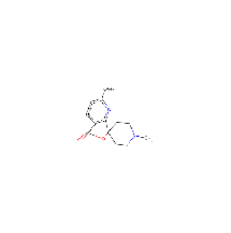 COc1ccc2c(n1)C1(CCN(C)CC1)OC2=O